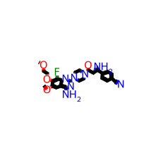 COCCOc1c(OC)cc2c(N)nc(N3CCN(C(=O)C[C@@H](N)c4ccc(C#N)cc4)CC3)nc2c1F